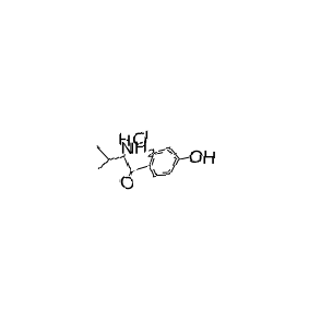 CC(C)C(N)C(=O)c1ccc(O)cc1.Cl